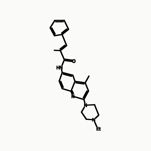 CCN1CCN(c2cc(C)c3cc(NC(=O)/C(C)=C/c4ccccc4)ccc3n2)CC1